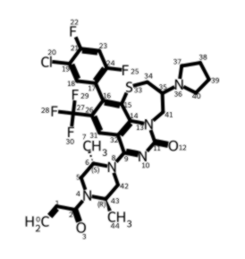 C=CC(=O)N1C[C@H](C)N(c2nc(=O)n3c4c(c(-c5cc(Cl)c(F)cc5F)c(C(F)(F)F)cc24)SCC(N2CCCC2)C3)C[C@H]1C